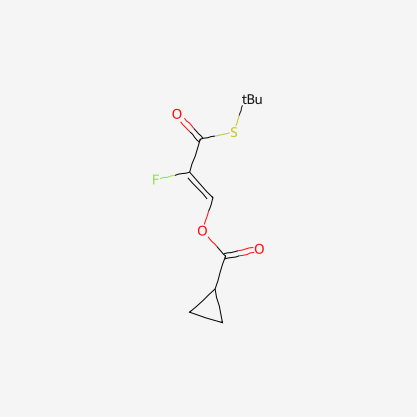 CC(C)(C)SC(=O)C(F)=COC(=O)C1CC1